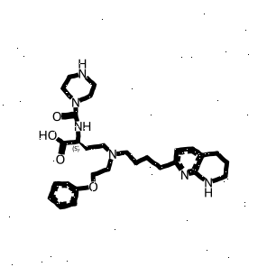 O=C(O)[C@H](CCN(CCCCc1ccc2c(n1)NCCC2)CCOc1ccccc1)NC(=O)N1CCNCC1